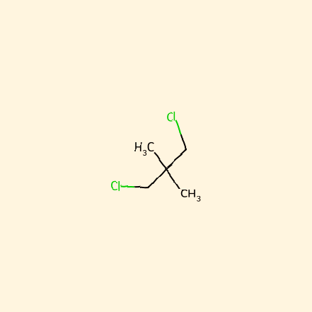 CC(C)(CCl)CCl